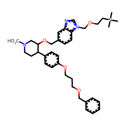 C[Si](C)(C)CCOCn1cnc2cc(COC3CN(C(=O)O)CCC3c3ccc(OCCCOCc4ccccc4)cc3)ccc21